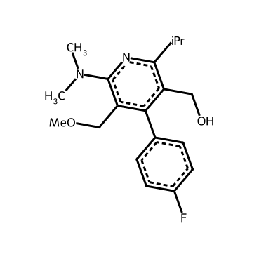 COCc1c(N(C)C)nc(C(C)C)c(CO)c1-c1ccc(F)cc1